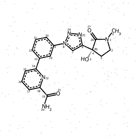 CN1CC[C@@](O)(c2cn(-c3cccc(-c4cccc(C(N)=O)n4)c3)nn2)C1=O